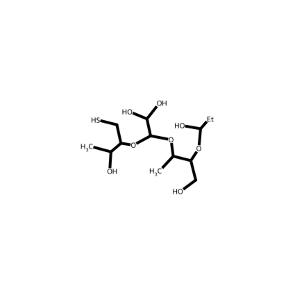 CCC(O)OC(CO)C(C)OC(OC(CS)C(C)O)C(O)O